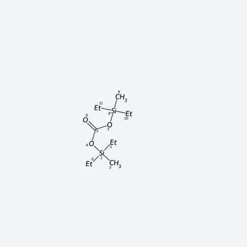 CC[Si](C)(CC)OC(=O)O[Si](C)(CC)CC